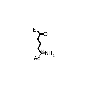 CCC(=O)CCC[C@H](N)C(C)=O